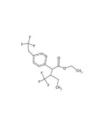 CCOC(=O)C(c1ccc(CC(F)(F)F)cc1)C(CC)C(F)(F)F